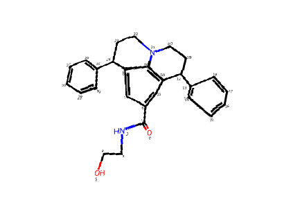 O=C(NCCO)c1cc2c3c(c1)C(c1ccccc1)CCN3CCC2c1ccccc1